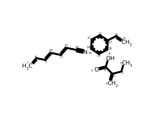 C=C(CC)C(=O)O.C=CC=CC=CC#N.C=Cc1ccccc1